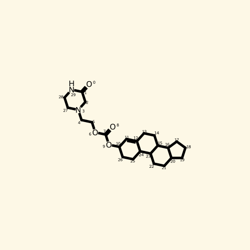 O=C1CN(CCOC(=O)OC2C=C3CCC4C5CCCC5CCC4C3CC2)CCN1